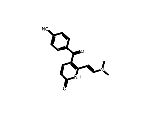 CN(C)C=Cc1[nH]c(=O)ccc1C(=O)c1ccc(C#N)cc1